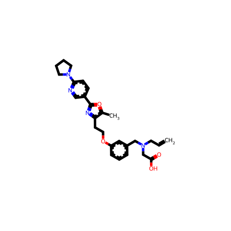 C=CCN(CC(=O)O)Cc1cccc(OCCc2nc(-c3ccc(N4CCCC4)nc3)oc2C)c1